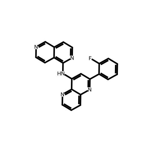 Fc1ccccc1-c1cc(Nc2nccc3cnccc23)c2ncccc2n1